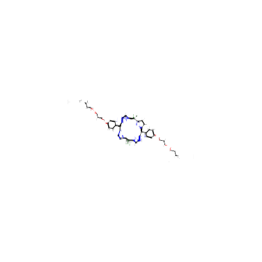 CC(CCOCCCOc1ccc(-c2c3nc(c(Br)c4ccc([nH]4)c(-c4ccc(OCCCOCCC(C)C(=O)O)cc4)c4nc(c(Br)c5ccc2[nH]5)C=C4)C=C3)cc1)C(=O)O